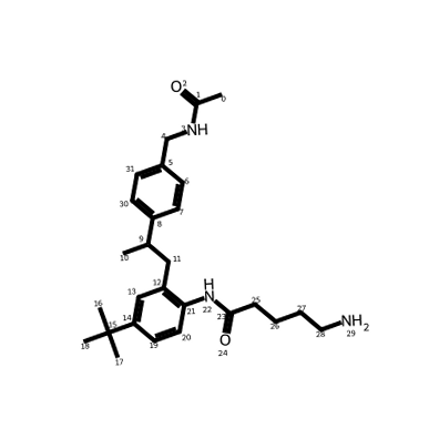 CC(=O)NCc1ccc(C(C)Cc2cc(C(C)(C)C)ccc2NC(=O)CCCCN)cc1